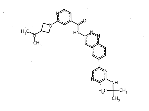 CN(C)C1CN(c2cc(C(=O)Nc3cc4cc(-c5cncc(NC(C)(C)C)n5)ccc4nn3)ccn2)C1